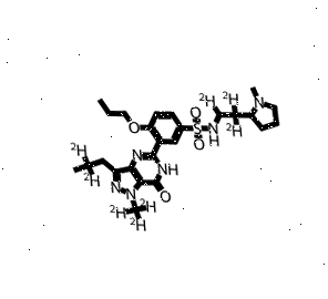 [2H]C(NS(=O)(=O)c1ccc(OCCC)c(-c2nc3c(CC([2H])([2H])C)nn(C([2H])([2H])[2H])c3c(=O)[nH]2)c1)C([2H])([2H])C1CCCN1C